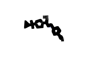 CC(C)(C1CC1)N1CCN(C(=O)/C=C/c2ccc(C#N)cc2)CC1.Cl